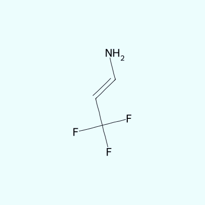 N/C=C/C(F)(F)F